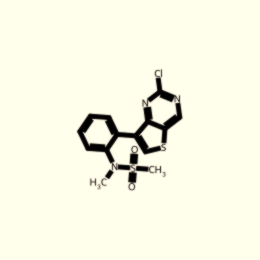 CN(c1ccccc1-c1csc2cnc(Cl)nc12)S(C)(=O)=O